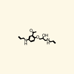 C=CCNCC(O)COc1ccc(NCC=C)cc1C(C)=O